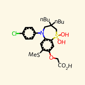 CCCCC1(CCCC)CN(c2ccc(Cl)cc2)c2cc(SC)c(OCC(=O)O)cc2S(O)(O)C1